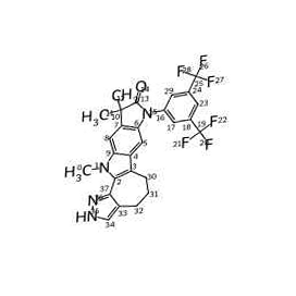 Cn1c2c(c3cc4c(cc31)C(C)(C)C(=O)N4c1cc(C(F)(F)F)cc(C(F)(F)F)c1)CCCc1c[nH]nc1-2